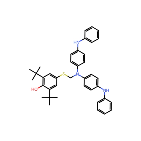 CC(C)(C)c1cc(SCN(c2ccc(Nc3ccccc3)cc2)c2ccc(Nc3ccccc3)cc2)cc(C(C)(C)C)c1O